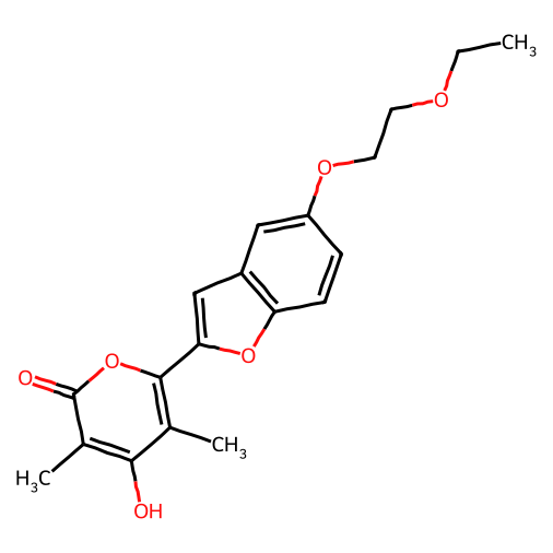 CCOCCOc1ccc2oc(-c3oc(=O)c(C)c(O)c3C)cc2c1